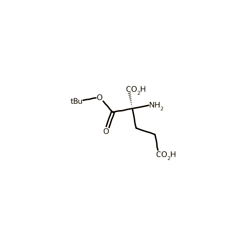 CC(C)(C)OC(=O)[C@@](N)(CCC(=O)O)C(=O)O